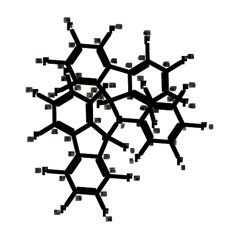 Fc1c(F)c(F)c(B(C2(F)c3c(F)c(F)c(F)c(F)c3-c3c(F)c(F)c(F)c(F)c32)C2(F)c3c(F)c(F)c(F)c(F)c3-c3c(F)c(F)c(F)c(F)c32)c(F)c1F